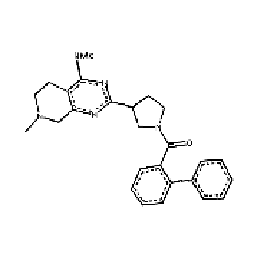 CNc1nc(C2CCN(C(=O)c3ccccc3-c3ccccc3)C2)nc2c1CCN(C)C2